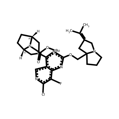 CC(C)=C1CN2CCCC2(COc2nc(N3C[C@H]4CC[C@@H](C3)N4C(=O)OC(C)(C)C)c3cnc(Cl)c(F)c3n2)C1